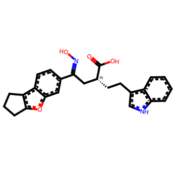 O=C(O)[C@H](CCc1c[nH]c2ccccc12)CC(=NO)c1ccc2c3c(oc2c1)CCC3